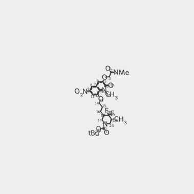 CNC(=O)COc1cc2cc([N+](=O)[O-])cc(OCCC[C@@H]3CN(C(=O)OC(C)(C)C)C[C@H](C)C3(F)F)c2n(C)c1=O